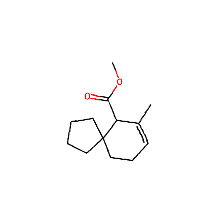 COC(=O)C1C(C)=CCCC12CCCC2